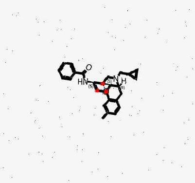 Cc1ccc2c(c1)[C@]13CCN(CC4CC4)[C@H](C2)[C@]12CC[C@@](NC(=O)c1ccccc1)(CO2)C3